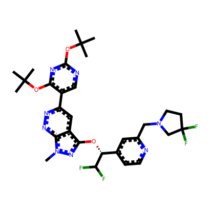 Cn1nc(O[C@H](c2ccnc(CN3CCC(F)(F)C3)c2)C(F)F)c2cc(-c3cnc(OC(C)(C)C)nc3OC(C)(C)C)nnc21